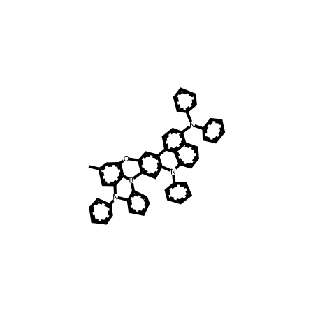 Cc1cc2c3c(c1)N(c1ccccc1)c1ccccc1B3c1cc3c(cc1O2)-c1ccc(N(c2ccccc2)c2ccccc2)c2cccc(c12)N3c1ccccc1